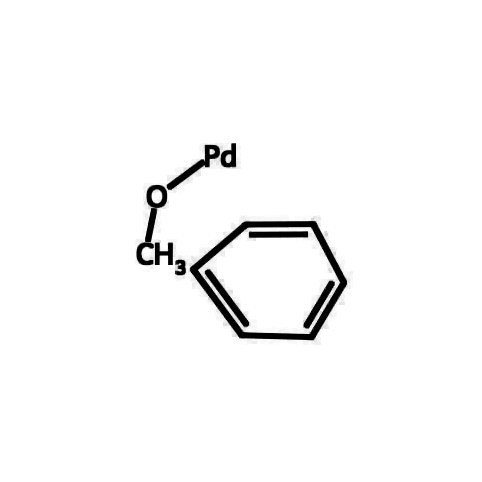 C[O][Pd].c1ccccc1